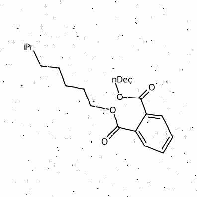 CCCCCCCCCCOC(=O)c1ccccc1C(=O)OCCCCCC(C)C